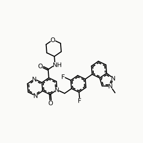 Cn1cc2c(-c3cc(F)c(Cn4cc(C(=O)NC5CCOCC5)c5nccnc5c4=O)c(F)c3)cccc2n1